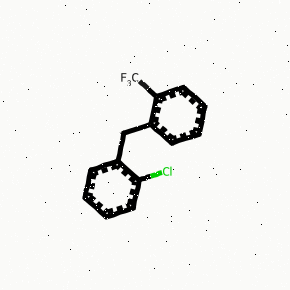 FC(F)(F)c1ccccc1[CH]c1ccccc1Cl